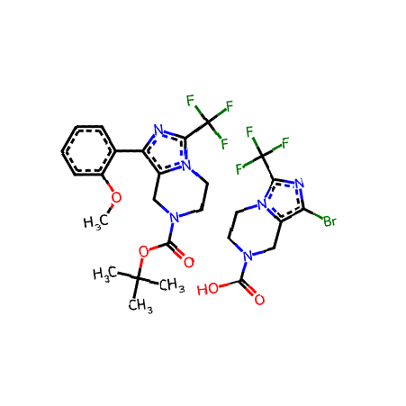 COc1ccccc1-c1nc(C(F)(F)F)n2c1CN(C(=O)OC(C)(C)C)CC2.O=C(O)N1CCn2c(C(F)(F)F)nc(Br)c2C1